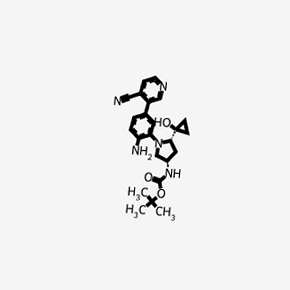 CC(C)(C)OC(=O)N[C@H]1C[C@@H](C2(O)CC2)N(c2cc(-c3cnccc3C#N)ccc2N)C1